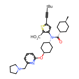 CC(C)(C)C#Cc1cc(N(C(=O)[C@H]2CC[C@H](C)CC2)[C@H]2CC[C@H](Oc3cccc(CN4CCCC4)n3)CC2)c(C(=O)O)s1